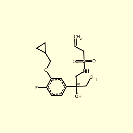 C=CCS(=O)(=O)NC[C@](O)(CC)c1ccc(F)c(OCC2CC2)c1